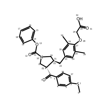 CSc1ccc(C(=O)[C@@H]2CN(C(=O)Oc3ccccc3)C[C@H]2Cc2cc(C)c(OCC(=O)O)c(C)c2)cc1